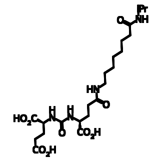 CC(C)NC(=O)CCCCCCCNC(=O)CC[C@H](NC(=O)N[C@@H](CCC(=O)O)C(=O)O)C(=O)O